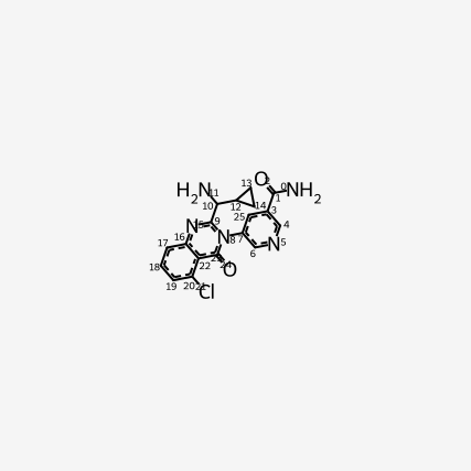 NC(=O)c1cncc(-n2c(C(N)C3CC3)nc3cccc(Cl)c3c2=O)c1